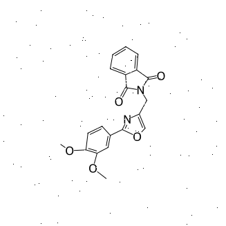 COc1ccc(-c2nc(CN3C(=O)c4ccccc4C3=O)co2)cc1OC